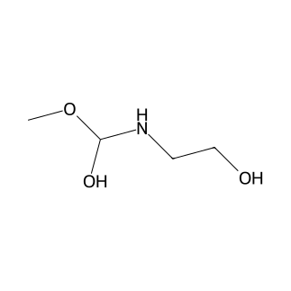 COC(O)NCCO